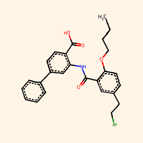 CCCCOc1ccc(CCBr)cc1C(=O)Nc1cc(-c2ccccc2)ccc1C(=O)O